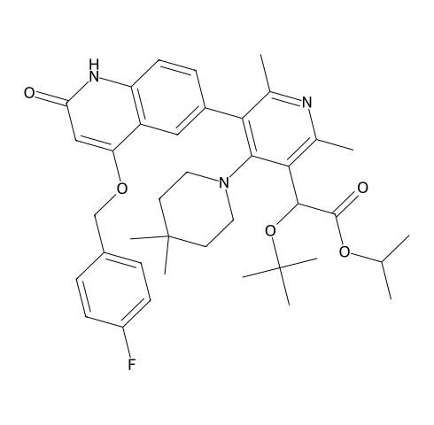 Cc1nc(C)c(C(OC(C)(C)C)C(=O)OC(C)C)c(N2CCC(C)(C)CC2)c1-c1ccc2[nH]c(=O)cc(OCc3ccc(F)cc3)c2c1